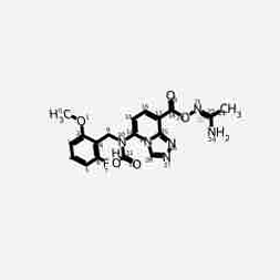 COc1cccc(F)c1CN(C(=O)O)c1ccc(C(=O)O/N=C(/C)N)c2nncn12